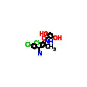 Cc1cc(C(C#N)c2ccc(Cl)cc2)c(Cl)cc1NC(=O)c1cc(O)ccc1O